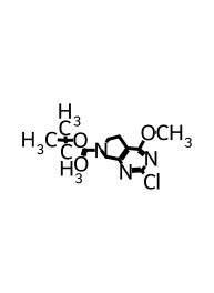 COc1nc(Cl)nc2c1CCN(C(=O)OC(C)(C)C)C2